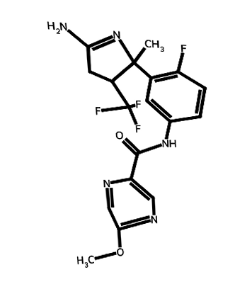 COc1cnc(C(=O)Nc2ccc(F)c(C3(C)N=C(N)CC3C(F)(F)F)c2)cn1